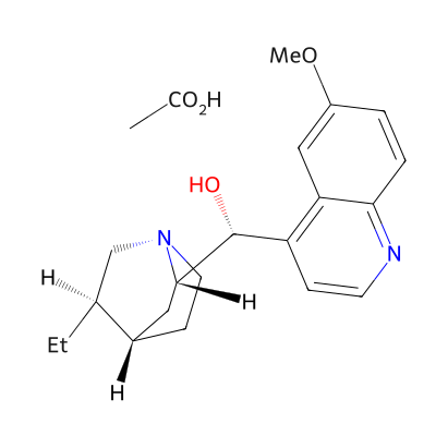 CC(=O)O.CC[C@H]1C[N@]2CC[C@H]1C[C@H]2[C@H](O)c1ccnc2ccc(OC)cc12